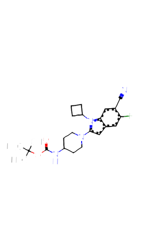 CC(C)(C)OC(=O)NC1CCN(c2cc3cc(F)c(C#N)cc3n2C2CCC2)CC1